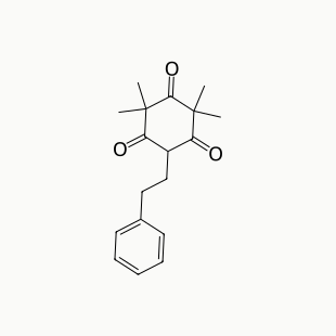 CC1(C)C(=O)C(CCc2ccccc2)C(=O)C(C)(C)C1=O